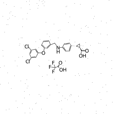 O=C(O)C(F)(F)F.O=C(O)[C@@H]1C[C@H]1c1ccc(NCc2cccc(Oc3cc(Cl)cc(Cl)c3)c2)cc1